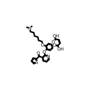 CN(C)CCCCCCOc1ccccc1Oc1ncccc1C(=O)c1cccs1.O=C(O)/C=C\C(=O)O